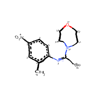 Cc1cc([N+](=O)[O-])ccc1/N=C(\N1CCOCC1)C(C)(C)C